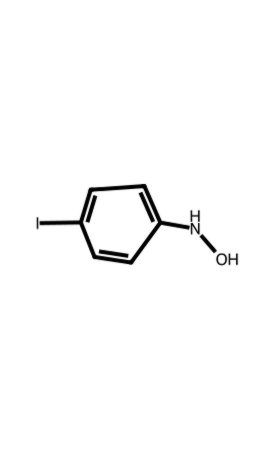 ONc1ccc(I)cc1